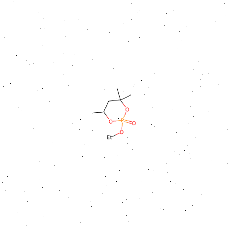 CCOP1(=O)OC(C)CC(C)(C)O1